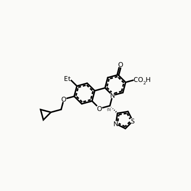 CCc1cc2c(cc1OCC1CC1)O[C@@H](c1cscn1)n1cc(C(=O)O)c(=O)cc1-2